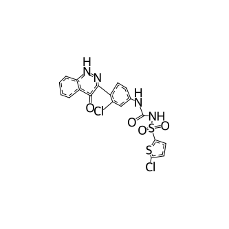 O=C(Nc1ccc(-c2n[nH]c3ccccc3c2=O)c(Cl)c1)NS(=O)(=O)c1ccc(Cl)s1